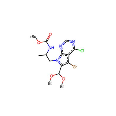 CCOC(OCC)c1c(Br)c2c(Cl)ncnc2n1CC(C)NC(=O)OC(C)(C)C